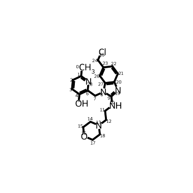 Cc1ccc(O)c(Cn2c(NCCN3CCOCC3)nc3ccc(CCl)cc32)n1